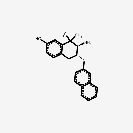 CC1(C)c2cc(O)ccc2C[C@@H](Sc2ccc3ccccc3c2)[C@@H]1N